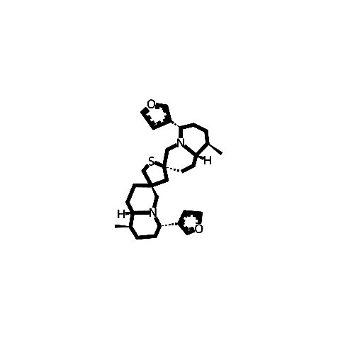 C[C@@H]1CC[C@@H](c2ccoc2)N2C[C@@]3(CC[C@@H]12)CS[C@]1(CC[C@H]2[C@H](C)CC[C@@H](c4ccoc4)N2C1)C3